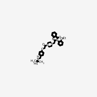 CCOc1ccccc1-n1c(CN2CCN(C(=O)COc3ccc(CNC(C)(C)S)cc3)CC2)nc2ccccc2c1=O